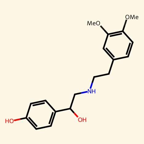 COc1ccc(CCNCC(O)c2ccc(O)cc2)cc1OC